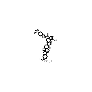 CC(C)[C@@H]1CC[C@]2(NCC[C@]3(O)CC[C@@H](S(C)(=O)=O)CC3)CC[C@]3(C)[C@H](CC[C@@H]4[C@@]5(C)CC=C(C6=CC[C@@](CF)(C(=O)O)CC6)C(C)(C)[C@@H]5CC[C@]43C)[C@@H]12